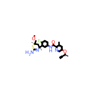 C#C[C@H](C)Oc1cnc(C(=O)Nc2ccc(F)c([C@]3(C)C[C@](C)(COC)SC(N)=N3)c2)c(C)c1